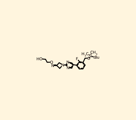 CC(C)(C)[Si](C)(C)OCc1cccc(-c2cnc(N3CC(=NOCCO)C3)nc2)c1F